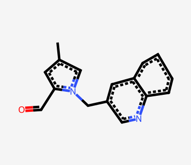 Cc1cc(C=O)n(Cc2cnc3ccccc3c2)c1